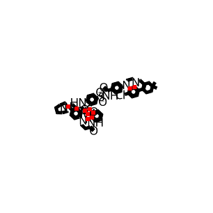 CC1(C)CCC(c2ccc(Cl)cc2)=C(CN2CCN(c3ccc(C(=O)NS(=O)(=O)c4ccc(N[C@H](CCN5CC6CCC(C5)N6Cc5ccc(N6CCC(=O)NC6=O)cc5)CSc5ccccc5)c(S(=O)(=O)C(F)(F)F)c4)cc3)CC2)C1